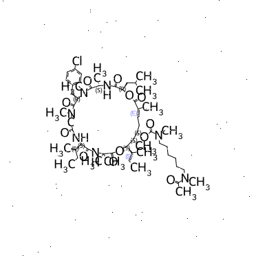 C/C=C(\C)[C@H]1OC(=O)C(C)(C)NC(=O)[C@H]([C@H](C)CC)NC(=O)CN(C)C(=O)[C@@H](Cc2ccc(Cl)cc2)N(C)C(=O)[C@H](C)NC(=O)[C@@H](CC(C)C)OC(=O)/C(C)=C/C[C@H](OC(=O)N(C)CCCCCCN(C)C(C)=O)[C@@H]1C